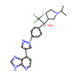 CC(C)N1CCC([C@@](O)(c2ccc(-n3cc(-c4ccnc5[nH]cnc45)cn3)cc2)C(F)(F)F)C1